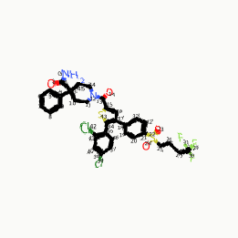 NC(=O)C1(c2ccccc2)CCN(C(=O)c2cc(-c3ccc(S(=O)(=O)CCCC(F)(F)F)cc3)c(-c3ccc(Cl)cc3Cl)s2)CC1